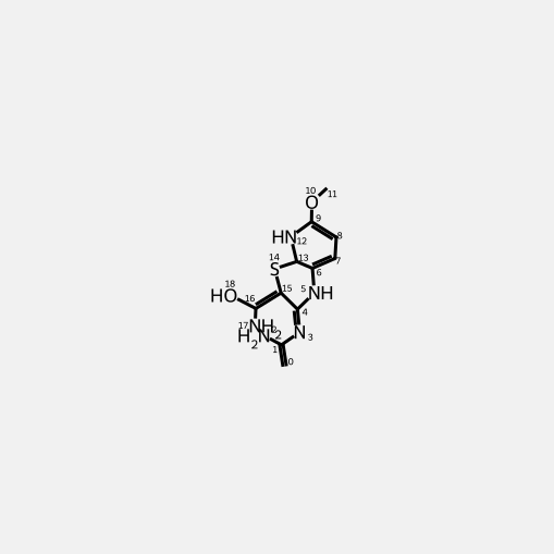 C=C(N)/N=C1/NC2=CC=C(OC)NC2S/C1=C(/N)O